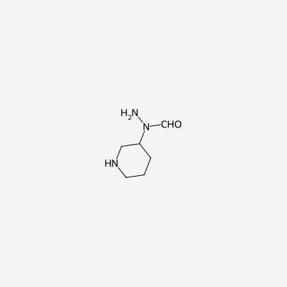 NN(C=O)C1CCCNC1